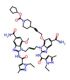 CCn1nc(C)cc1C(=O)Nc1nc2cc(C(N)=O)cc(OC)c2n1C/C=C/Cn1c(NC(=O)c2cc(C)nn2CC)nc2cc(C(N)=O)cc(OCC#CC3CCN(C(=O)OC4CCCC4)CC3)c21